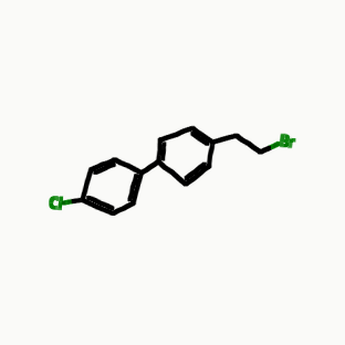 Clc1ccc(-c2ccc(CCBr)cc2)cc1